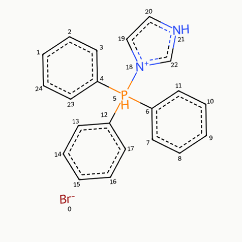 [Br-].c1ccc([PH](c2ccccc2)(c2ccccc2)[n+]2cc[nH]c2)cc1